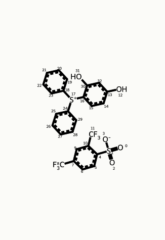 O=S(=O)([O-])c1ccc(C(F)(F)F)cc1C(F)(F)F.Oc1ccc([S+](c2ccccc2)c2ccccc2)c(O)c1